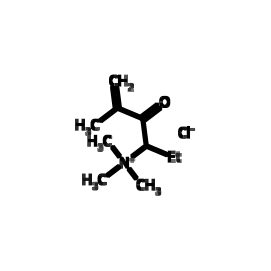 C=C(C)C(=O)C(CC)[N+](C)(C)C.[Cl-]